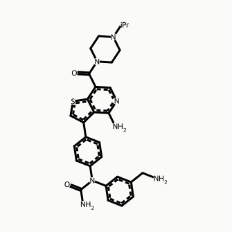 CC(C)N1CCN(C(=O)c2cnc(N)c3c(-c4ccc(N(C(N)=O)c5cccc(CN)c5)cc4)csc23)CC1